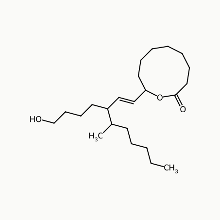 CCCCCC(C)C(/C=C/C1CCCCCCCC(=O)O1)CCCCO